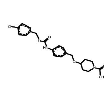 CC(=O)N1CCC(OCc2ccc(NC(=O)OCc3ccc(Cl)cc3)cc2)CC1